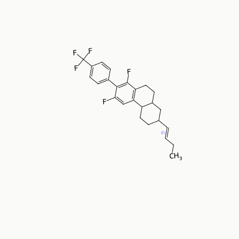 CC/C=C/C1CCC2c3cc(F)c(-c4ccc(C(F)(F)F)cc4)c(F)c3CCC2C1